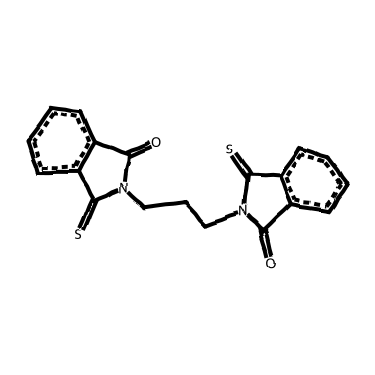 O=C1c2ccccc2C(=S)N1CCCN1C(=O)c2ccccc2C1=S